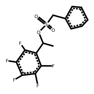 CC(OS(=O)(=O)Cc1ccccc1)c1c(F)c(F)c(F)c(F)c1F